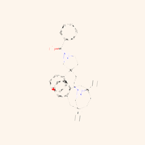 O=C(c1ccccc1)N1CC[C@](CCN2C[C@@H]3CC[C@H]2Cc2ccccc2C3)(c2ccccc2)C1